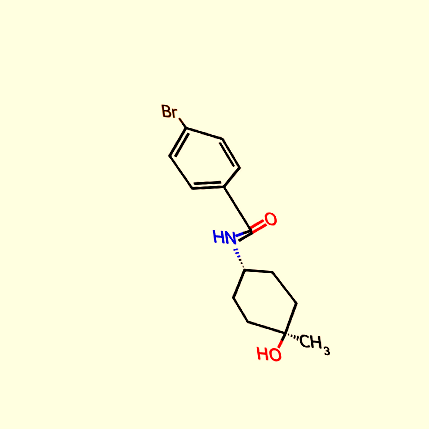 C[C@]1(O)CC[C@H](NC(=O)c2ccc(Br)cc2)CC1